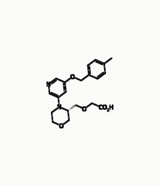 Cc1ccc(COc2cncc(N3CCOC[C@H]3COCC(=O)O)c2)cc1